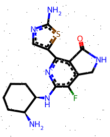 Nc1ncc(-c2nc(N[C@@H]3CCCC[C@@H]3N)c(F)c3c2C(=O)NC3)s1